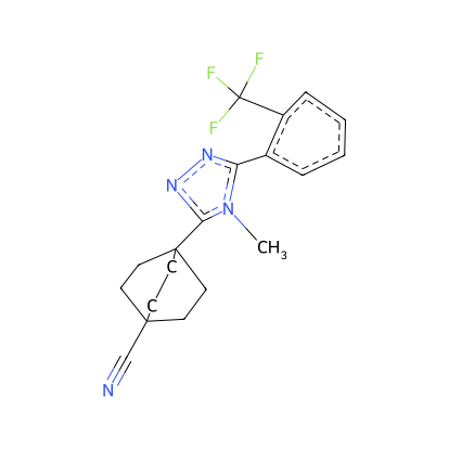 Cn1c(-c2ccccc2C(F)(F)F)nnc1C12CCC(C#N)(CC1)CC2